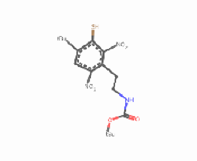 CC(C)(C)OC(=O)NCCc1c([N+](=O)[O-])cc(C(C)(C)C)c(S)c1[N+](=O)[O-]